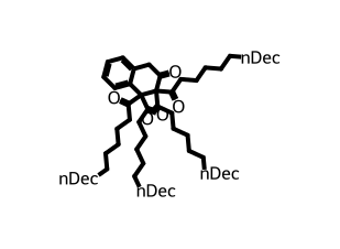 CCCCCCCCCCCCCCCC(=O)C1(C(=O)CCCCCCCCCCCCCCC)C(=O)Cc2ccccc2C1(C(=O)CCCCCCCCCCCCCCC)C(=O)CCCCCCCCCCCCCCC